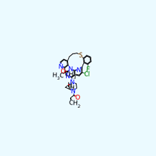 C=CC(=O)N1CCN(c2nc(=O)n3c4nc(c(Cl)cc24)-c2c(F)cccc2SCCCc2ccnc(C(C)C)c2-3)[C@@H]2C[C@@H]21